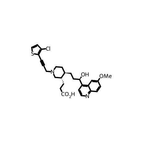 COc1ccc2nccc([C@H](O)CC[C@@H]3CCN(CC#Cc4sccc4Cl)C[C@H]3CCC(=O)O)c2c1